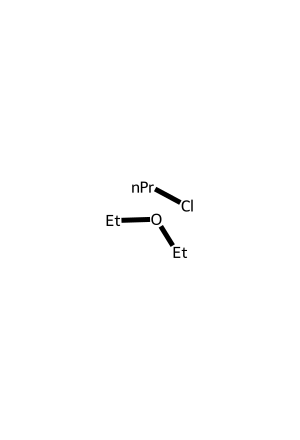 CCCCl.CCOCC